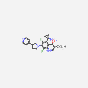 NC1(c2c(F)c(N3CCC(c4ccncc4)C3)c(F)c3[nH]cc(C(=O)O)c(=O)c23)CC1